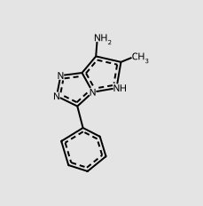 Cc1[nH]n2c(-c3ccccc3)nnc2c1N